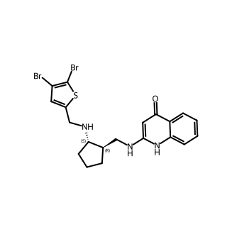 O=c1cc(NC[C@H]2CCC[C@@H]2NCc2cc(Br)c(Br)s2)[nH]c2ccccc12